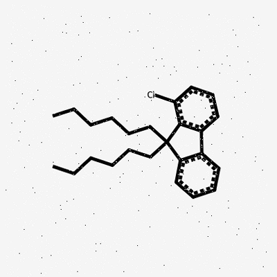 CCCCCCC1(CCCCCC)c2ccccc2-c2cccc(Cl)c21